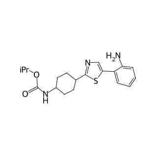 CC(C)OC(=O)NC1CCC(c2ncc(-c3ccccc3N)s2)CC1